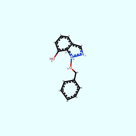 Oc1cccc2cnn(OCc3ccccc3)c12